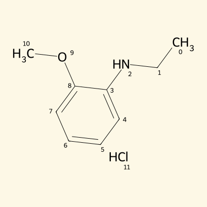 CCNc1ccccc1OC.Cl